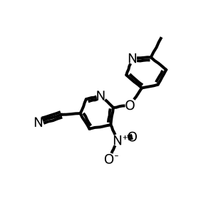 Cc1ccc(Oc2ncc(C#N)cc2[N+](=O)[O-])cn1